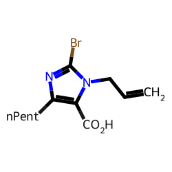 C=CCn1c(Br)nc(CCCCC)c1C(=O)O